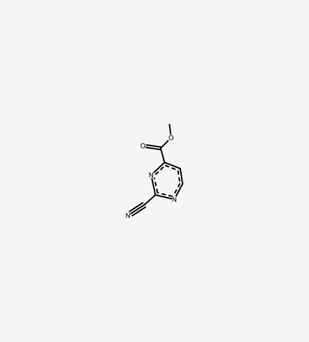 COC(=O)c1ccnc(C#N)n1